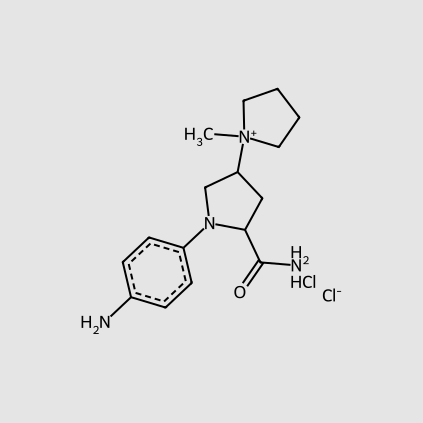 C[N+]1(C2CC(C(N)=O)N(c3ccc(N)cc3)C2)CCCC1.Cl.[Cl-]